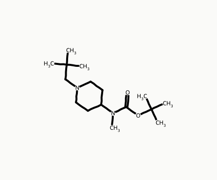 CN(C(=O)OC(C)(C)C)C1CCN(CC(C)(C)C)CC1